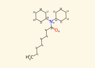 CCCCCCCC(=O)N(C1CCCCC1)C1CCCCC1